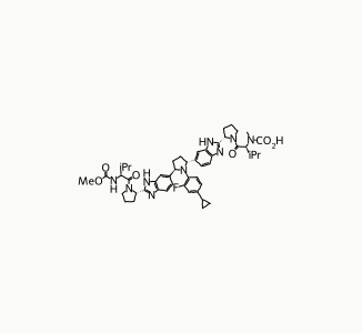 COC(=O)N[C@H](C(=O)N1CCC[C@H]1c1nc2ccc([C@H]3CC[C@H](c4ccc5nc([C@@H]6CCCN6C(=O)[C@H](C(C)C)N(C)C(=O)O)[nH]c5c4)N3c3ccc(C4CC4)cc3F)cc2[nH]1)C(C)C